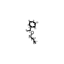 CC(ON=[N+]=[N-])c1ccccc1